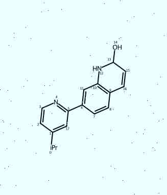 CC(C)c1ccnc(-c2ccc3c(c2)NC(O)C=C3)c1